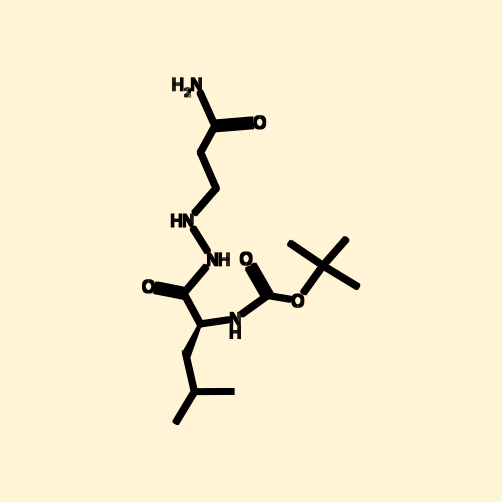 CC(C)C[C@H](NC(=O)OC(C)(C)C)C(=O)NNCCC(N)=O